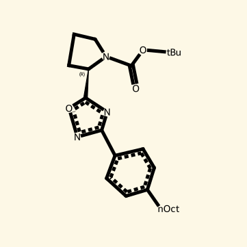 CCCCCCCCc1ccc(-c2noc([C@H]3CCCN3C(=O)OC(C)(C)C)n2)cc1